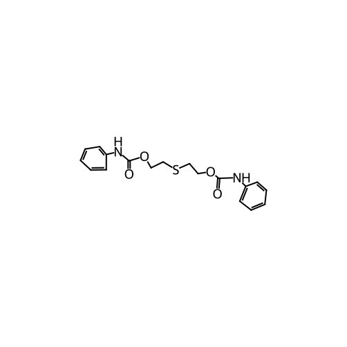 O=C(Nc1ccccc1)OCCSCCOC(=O)Nc1ccccc1